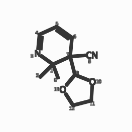 CC1(C)N=CC=CC1(C#N)C1OCCO1